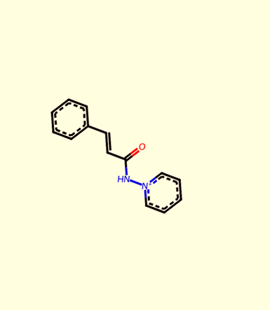 O=C(/C=C/c1ccccc1)N[n+]1ccccc1